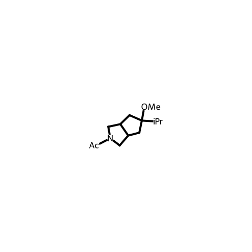 COC1(C(C)C)CC2CN(C(C)=O)CC2C1